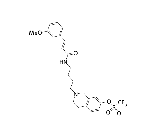 COc1cccc(C=CC(=O)NCCCCN2CCc3ccc(OS(=O)(=O)C(F)(F)F)cc3C2)c1